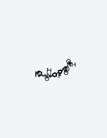 CC(=O)NC[C@H]1CN(c2ccc(-c3ccc(CNC(=O)/C=C/c4cccnc4)cc3)c(F)c2)C(=O)O1